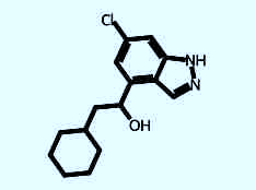 OC(CC1CCCCC1)c1cc(Cl)cc2[nH]ncc12